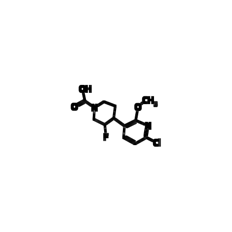 COc1nc(Cl)ccc1C1CCN(C(=O)O)CC1F